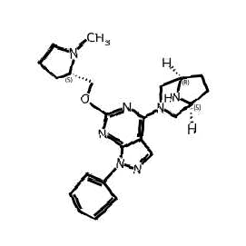 CN1CCC[C@H]1COc1nc(N2C[C@H]3CC[C@@H](C2)N3)c2cnn(-c3ccccc3)c2n1